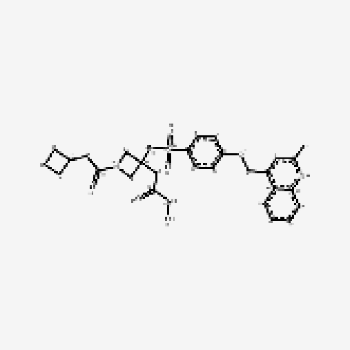 Cc1cc(COc2ccc(S(=O)(=O)NC3(CC(=O)NO)CN(C(=O)CC4CCC4)C3)cc2)c2ccccc2n1